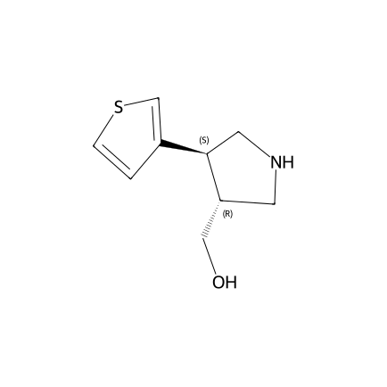 OC[C@H]1CNC[C@@H]1c1ccsc1